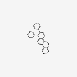 c1ccc(-c2ccc3c(ccc4c5ccccc5ccc34)c2-c2ccccc2)cc1